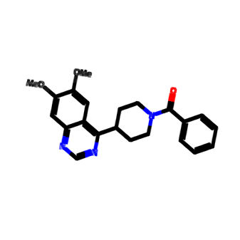 COc1cc2ncnc(C3CCN(C(=O)c4ccccc4)CC3)c2cc1OC